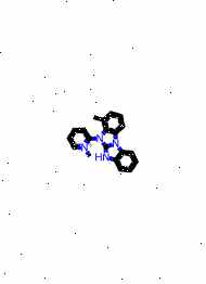 Cc1cccc2c1N(c1cccc[n+]1C)C1Nc3ccccc3N21